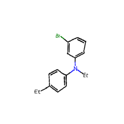 CCc1ccc(N(CC)c2cccc(Br)c2)cc1